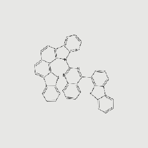 c1ccc2c(-c3cccc4c3sc3ccccc34)nc(-n3c4ccccc4c4ccc5ccc6c7ccccc7sc6c5c43)nc2c1